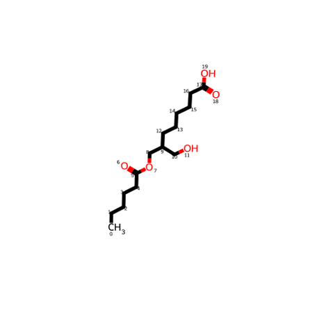 CCCCCC(=O)OCC(CO)CCCCCC(=O)O